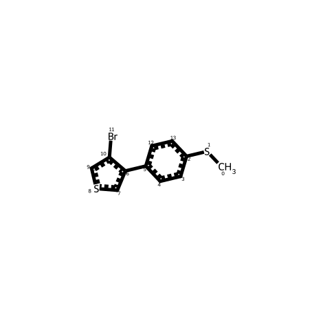 CSc1ccc(-c2cscc2Br)cc1